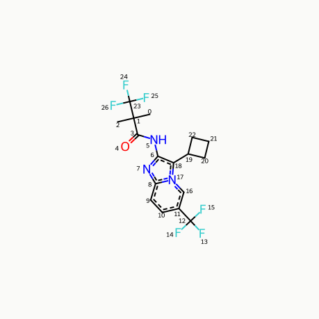 CC(C)(C(=O)Nc1nc2ccc(C(F)(F)F)cn2c1C1CCC1)C(F)(F)F